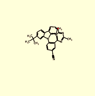 Cc1nc(C)nc(-c2cc(C#N)ccc2-n2c3ccccc3c3ccc(C(C)(C)C)cc32)n1